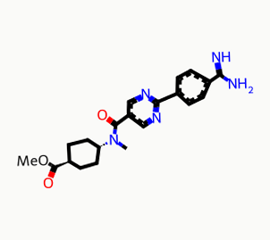 COC(=O)[C@H]1CC[C@H](N(C)C(=O)c2cnc(-c3ccc(C(=N)N)cc3)nc2)CC1